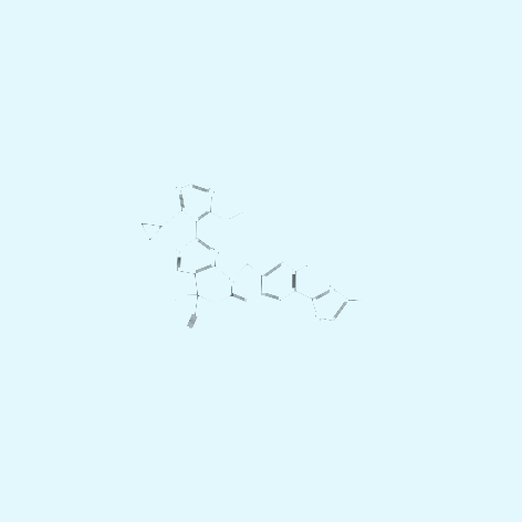 C#CC1(C)OC(=O)N(Cc2ccc(-c3nc(C)c[nH]3)c(F)c2)c2nc(-c3c(OC)ncnc3C3CC3)ncc21